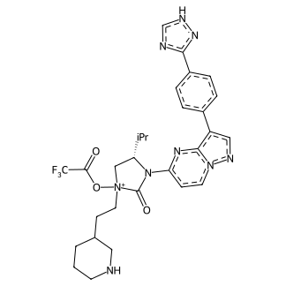 CC(C)[C@H]1C[N+](CCC2CCCNC2)(OC(=O)C(F)(F)F)C(=O)N1c1ccn2ncc(-c3ccc(-c4nc[nH]n4)cc3)c2n1